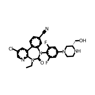 CCN1C(=O)N(c2c(F)cc(N3CCN[C@@H](CO)C3)cc2F)c2cc(C#N)ccc2-c2cc(Cl)cnc21